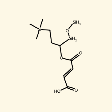 C[Si](C)(C)CCC(OC(=O)/C=C/C(=O)O)[SiH2]O[SiH3]